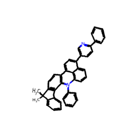 CC1(C)c2ccccc2-c2c1ccc1c2N(c2ccccc2)c2cccc3c(-c4ccc(-c5ccccc5)nc4)ccc-1c23